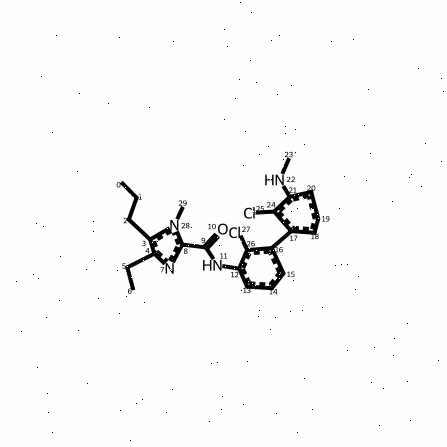 CCCc1c(CC)nc(C(=O)Nc2cccc(-c3cccc(NC)c3Cl)c2Cl)n1C